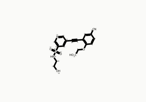 N#Cc1ccc(OCC(=O)O)c(C#Cc2cncc(S(=O)(=O)NCCO)c2)c1